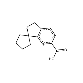 O=C(O)c1ncc2c(n1)C1(CCCC1)OC2